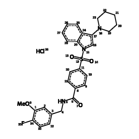 COc1cc(CNC(=O)c2ccc(S(=O)(=O)n3cc(N4CCCCC4)c4ccccc43)cc2)ccc1F.Cl